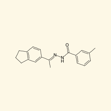 C/C(=N\NC(=O)c1cccc(C)c1)c1ccc2c(c1)CCC2